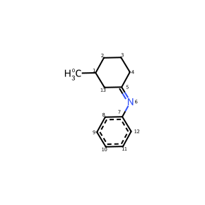 CC1CCCC(=Nc2ccccc2)C1